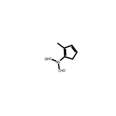 CC1=[C]([Rh]([CH]=O)[CH]=O)CC=C1